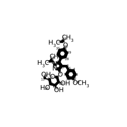 COc1ccc(Cc2c(O[C@@H]3O[C@H](CO)[C@@H](O)[C@H](O)[C@H]3O)nn(C(C)C)c2-c2ccc(OC(C)C)cc2)cc1